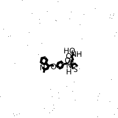 Cc1cc(COc2ccc(C(=O)NC3(OCC(=O)NO)CCSC3)cc2)c2ccccc2n1